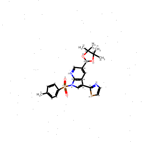 Cc1ccc(S(=O)(=O)n2cc(-c3nccs3)c3cc(B4OC(C)(C)C(C)(C)O4)cnc32)cc1